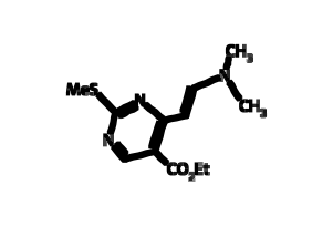 CCOC(=O)c1cnc(SC)nc1/C=C/N(C)C